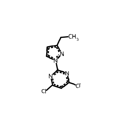 CCc1ccn(-c2nc(Cl)cc(Cl)n2)n1